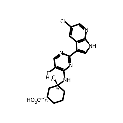 C[C@@]1(Nc2nc(-c3c[nH]c4ncc(Cl)cc34)ncc2F)CCC[C@H](C(=O)O)C1